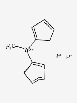 [CH3][Zr+2]([C]1=CC=CC1)[C]1=CC=CC1.[H-].[H-]